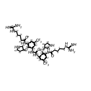 N=C(N)NCCCCC(=O)Nc1cc(C(F)(F)F)cc(NC(=O)Nc2cc(C(F)(F)F)cc(NC(=O)CCCCNC(=N)N)c2OC2CCNC2)c1OC1CCNC1